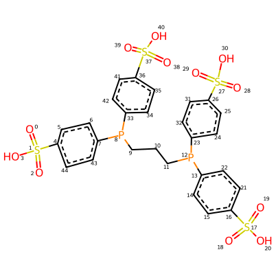 O=S(=O)(O)c1ccc(P(CCCP(c2ccc(S(=O)(=O)O)cc2)c2ccc(S(=O)(=O)O)cc2)c2ccc(S(=O)(=O)O)cc2)cc1